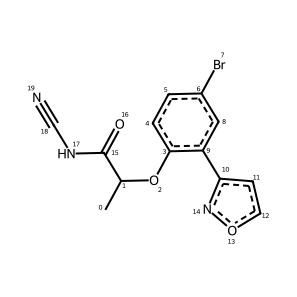 CC(Oc1ccc(Br)cc1-c1ccon1)C(=O)NC#N